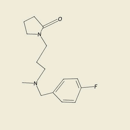 CN(CCCN1CCCC1=O)Cc1ccc(F)cc1